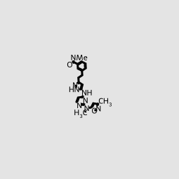 CNC(=O)c1cccc(CCc2cc(Nc3ccnc(N(C)c4cc(C)no4)n3)[nH]n2)c1